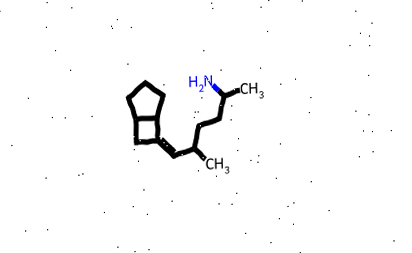 CC(N)CCC(C)/C=C1/CC2CCCC12